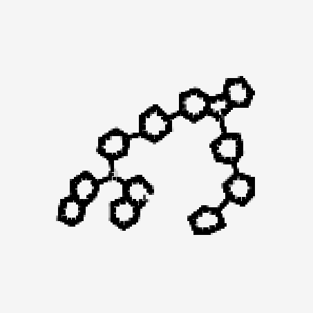 c1ccc(-c2cccc(-c3ccc(-n4c5ccccc5c5ccc(-c6ccc(-c7cccc(N(c8ccc9ccccc9c8)c8cccc9ccccc89)c7)cc6)cc54)cc3)c2)cc1